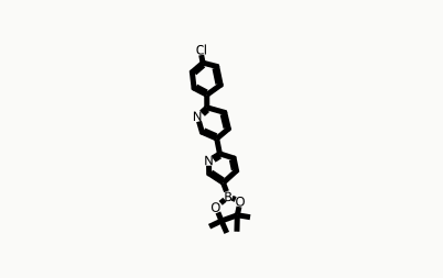 CC1(C)OB(c2ccc(-c3ccc(-c4ccc(Cl)cc4)nc3)nc2)OC1(C)C